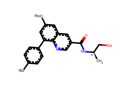 COc1cc(-c2ccc(C(C)(C)C)cc2)c2ncc(C(=O)N[C@H](C)CO)cc2c1